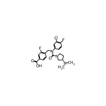 CN(C)[C@@H]1CCN(C(=O)N(Cc2ccc(C(=O)O)cc2F)c2ccc(F)c(Cl)c2)C1